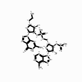 Nc1nc2c(nnn2[C@@H]2O[C@H](CCO)[C@@H](F)[C@H]2OP(O)(=S)OC[C@H]2O[C@@H](n3nnc4c(N)ncnc43)[C@@H](F)[C@@H]2O[PH](O)=S)c(=O)[nH]1